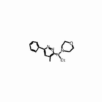 CCN(c1nnc(-c2ccccc2)cc1C)N1CCOCC1